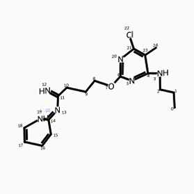 CCCNc1nc(OCCCC(=N)/N=c2/cccc[nH]2)nc(Cl)c1C